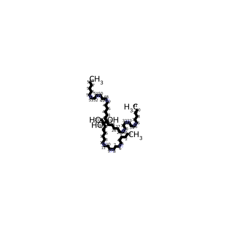 CCCCC/C=C\C/C=C\C/C=C\CCCCCC(O)(CO)C(O)(CCCCC/C=C\C/C=C\C/C=C\CCCCC)CCCCC/C=C\C/C=C\C/C=C\CCCCC